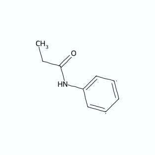 CCC(=O)Nc1c[c]c[c]c1